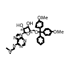 COc1ccc(C(OC[C@H]2O[C@@H](n3cnc4c(N=CN(C)C)ncnc43)[C@H](O)[C@@H]2O)(c2ccccc2)c2ccc(OC)cc2)cc1